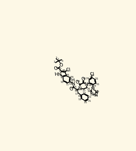 CC(C)(C)OC(=O)c1[nH]c2ccc(NC(=O)[C@H](Cc3ccccc3)N3CCN(c4cc(Cl)ccc4-n4cnnn4)C(=O)C3=O)cc2c1Cl